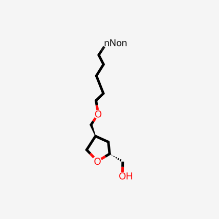 CCCCCCCCCCCCCCOC[C@@H]1CO[C@@H](CO)C1